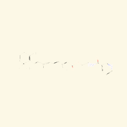 CC1=C(/C=C/C(C)=C/C=C/C(C)=C/C(=O)OCCNC(=O)c2cccnc2)C(C)(C)CCC1